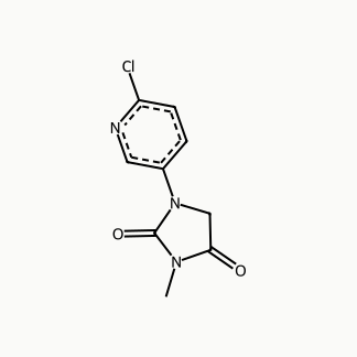 CN1C(=O)CN(c2ccc(Cl)nc2)C1=O